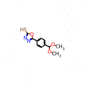 COC(OC)c1ccc(-c2nnc(S)o2)cc1